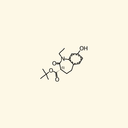 CCN1C(=O)[C@@H](C(=O)OC(C)(C)C)CCc2ccc(O)cc21